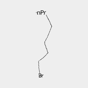 CC[CH]CCCCBr